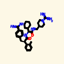 Cc1ccccc1[C@@H](Cc1ccc(C(=N)N)cc1)C(=O)N[C@H](C(=O)NCC1CCN(C(=N)N)CC1)C1CCCCC1